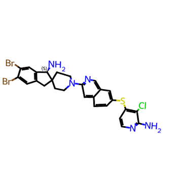 Nc1nccc(Sc2ccc3cc(N4CCC5(CC4)Cc4cc(Br)c(Br)cc4[C@H]5N)ncc3c2)c1Cl